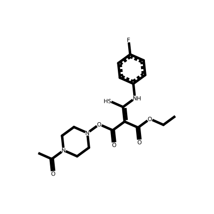 CCOC(=O)C(C(=O)ON1CCN(C(C)=O)CC1)=C(S)Nc1ccc(F)cc1